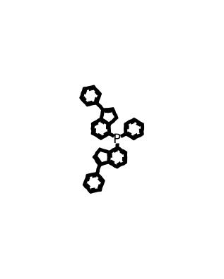 C1=C(c2ccccc2)c2cccc(P(c3ccccc3)c3cccc4c3CC=C4c3ccccc3)c2C1